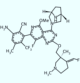 COc1nc(-c2c(C#N)c(N)cc(C)c2C(F)(F)F)c(F)c2nc(OC[C@]3(C)CN(C)CC/C3=C\F)nc(N3C[C@H]4CC[C@@H](C3)N4)c12